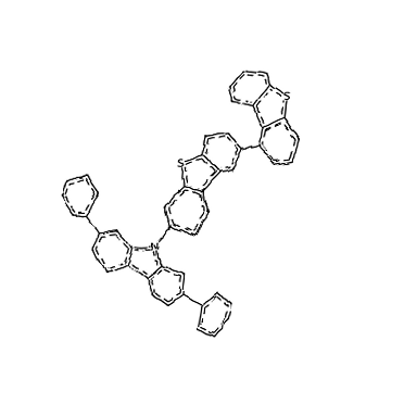 c1ccc(-c2ccc3c4ccc(-c5ccccc5)cc4n(-c4ccc5c(c4)sc4ccc(-c6cccc7sc8ccccc8c67)cc45)c3c2)cc1